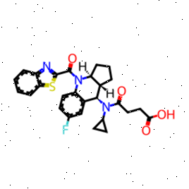 O=C(O)CCC(=O)N(C1CC1)[C@H]1c2cc(F)ccc2N(C(=O)c2nc3ccccc3s2)[C@H]2CCC[C@@H]21